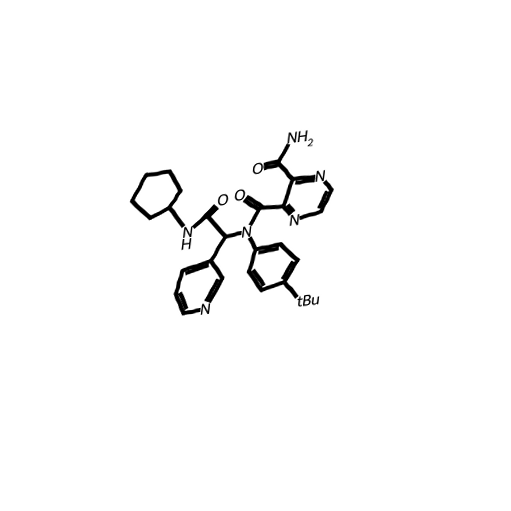 CC(C)(C)c1ccc(N(C(=O)c2nccnc2C(N)=O)C(C(=O)NC2CCCCC2)c2cccnc2)cc1